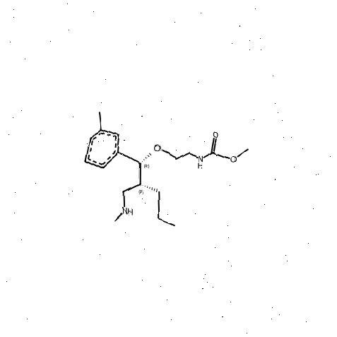 CCC[C@H](CNC)[C@@H](OCCNC(=O)OC)c1cccc(C)c1